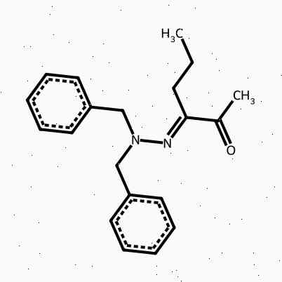 CCCC(=NN(Cc1ccccc1)Cc1ccccc1)C(C)=O